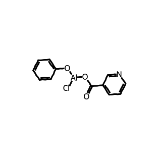 O=C([O][Al]([Cl])[O]c1ccccc1)c1cccnc1